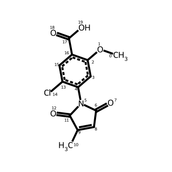 COc1cc(N2C(=O)C=C(C)C2=O)c(Cl)cc1C(=O)O